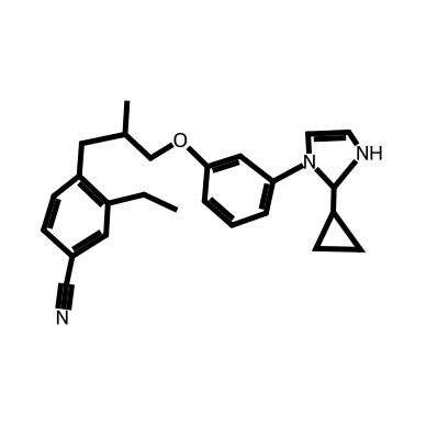 CCc1cc(C#N)ccc1CC(C)COc1cccc(N2C=CNC2C2CC2)c1